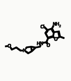 COCCCN1CC2C(CNC(=O)c3cc(Cl)c(N)c4cc(C)oc34)C2C1